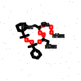 CC(C)(OOC(C)(C)c1ccccc1)c1ccccc1.CCCCCCCCCCCC(=O)OOC(=O)CCCCCCCCCCC.CCCCCCOOC(C)(C)C